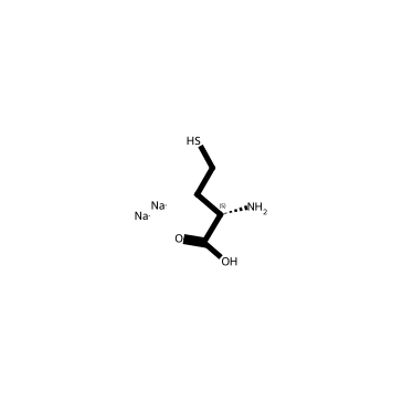 N[C@@H](CCS)C(=O)O.[Na].[Na]